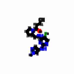 Cn1cc(Nc2ncc(F)c(NCC3CCCN3C(=O)CCC#N)n2)cn1